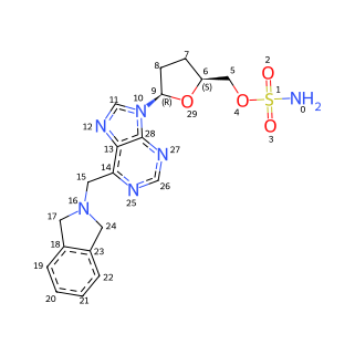 NS(=O)(=O)OC[C@@H]1CC[C@H](n2cnc3c(CN4Cc5ccccc5C4)ncnc32)O1